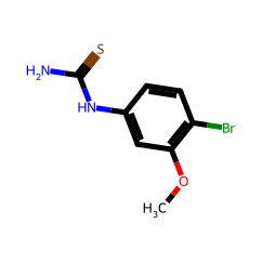 COc1cc(NC(N)=S)ccc1Br